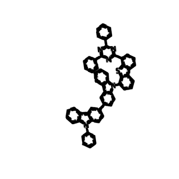 c1ccc(-c2nc(-c3ccccc3)nc(-c3cccc4c3sc3c(-n5c6ccccc6c6cc(-c7ccc8c(c7)c7ccccc7n8-c7ccccc7)ccc65)cccc34)n2)cc1